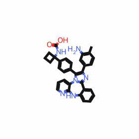 Cc1ccc(-c2nc3n(c2-c2ccc(C4(NC(=O)O)CCC4)cc2)-c2cccnc2Nc2ccccc2-3)cc1N